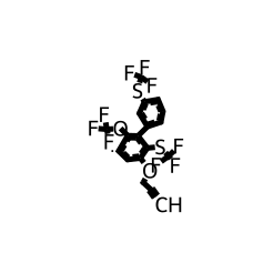 C#CCOc1c[c]c(OC(F)(F)F)c(-c2cccc(SC(F)(F)F)c2)c1SC(F)(F)F